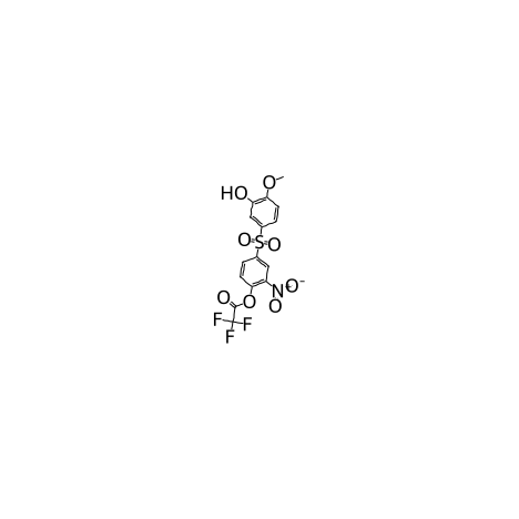 COc1ccc(S(=O)(=O)c2ccc(OC(=O)C(F)(F)F)c([N+](=O)[O-])c2)cc1O